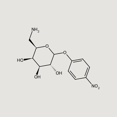 NC[C@H]1OC(Oc2ccc([N+](=O)[O-])cc2)[C@H](O)[C@@H](O)[C@H]1O